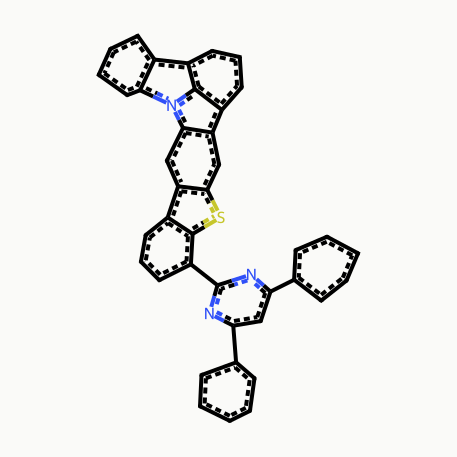 c1ccc(-c2cc(-c3ccccc3)nc(-c3cccc4c3sc3cc5c6cccc7c8ccccc8n(c5cc34)c76)n2)cc1